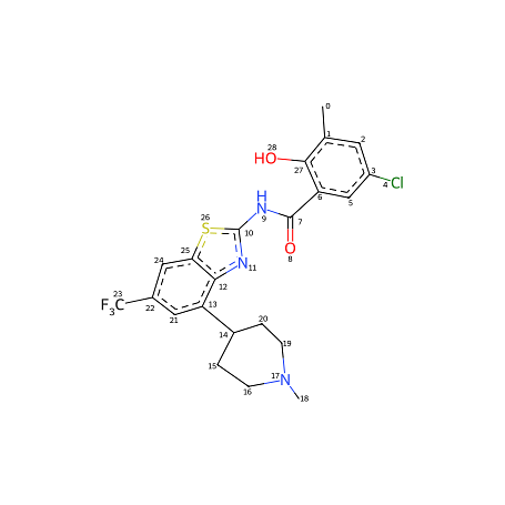 Cc1cc(Cl)cc(C(=O)Nc2nc3c(C4CCN(C)CC4)cc(C(F)(F)F)cc3s2)c1O